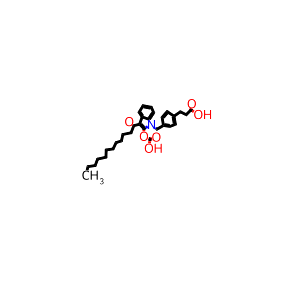 CCCCCCCCCCCC(=O)c1c(OC(=O)O)n(Cc2ccc(CCC(=O)O)cc2)c2ccccc12